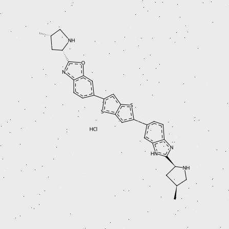 C[C@@H]1CN[C@H](c2nc3ccc(-c4cc5sc(-c6ccc7nc([C@@H]8C[C@H](C)CN8)oc7c6)cc5s4)cc3[nH]2)C1.Cl